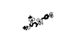 CC(CC1CC(O[Si](C)(C)C(C)(C)C)CN1C(=O)OC(C)(C)C)NC(=O)OCc1ccc([N+](=O)[O-])cc1